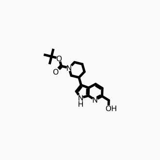 CC(C)(C)OC(=O)N1CCCC(c2c[nH]c3nc(CO)ccc23)C1